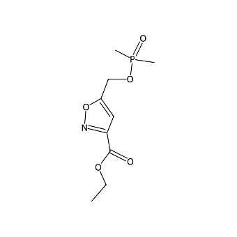 CCOC(=O)c1cc(COP(C)(C)=O)on1